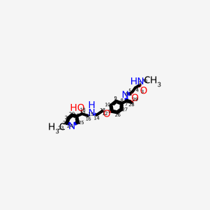 CNC(=O)Cc1nc(-c2ccc(OCCNC[C@@H](O)c3ccc(C)nc3)cc2)co1